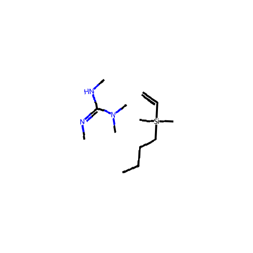 C=C[Si](C)(C)CCCC.CN=C(NC)N(C)C